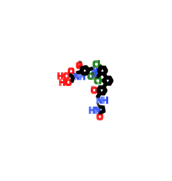 COc1cc(-c2cccc(-c3ccc(Cl)c4c3cnn4Cc3cc(OC)c(CNC(CO)C(=O)O)cc3Cl)c2Cl)ccc1CNC[C@@H]1CCC(=O)N1